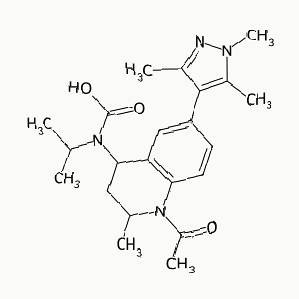 CC(=O)N1c2ccc(-c3c(C)nn(C)c3C)cc2C(N(C(=O)O)C(C)C)CC1C